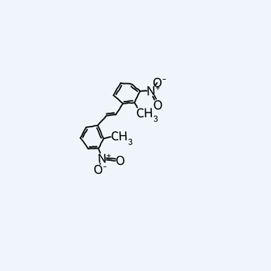 Cc1c(C=Cc2cccc([N+](=O)[O-])c2C)cccc1[N+](=O)[O-]